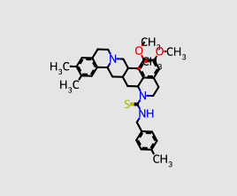 CCC1CN2CCc3cc(C)c(C)cc3C2CC1CC1c2cc(OC)c(OC)cc2CCN1C(=S)NCc1ccc(C)cc1